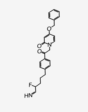 N=CC(F)CCCc1ccc(C(=O)Cn2ccc(OCc3ccccc3)cc2=O)cc1